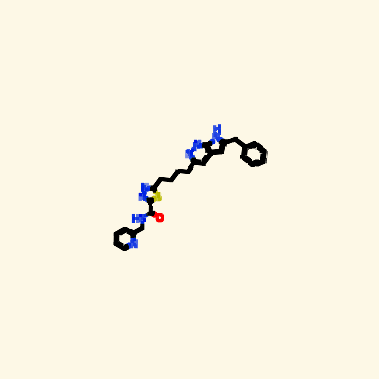 O=C(NCc1ccccn1)c1nnc(CCCCc2cc3cc(Cc4ccccc4)[nH]c3nn2)s1